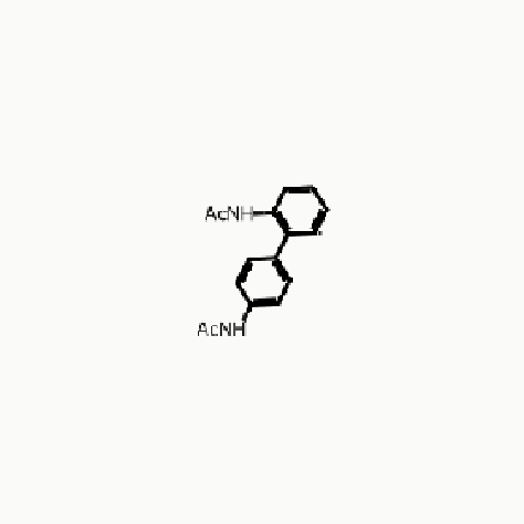 CC(=O)Nc1ccc(-c2[c]cccc2NC(C)=O)cc1